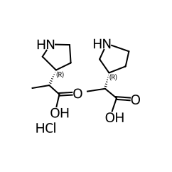 CC(C(=O)O)[C@H]1CCNC1.CC(C(=O)O)[C@H]1CCNC1.Cl